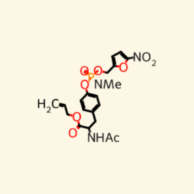 C=CCOC(=O)C(Cc1ccc(OP(=O)(NC)OCc2ccc([N+](=O)[O-])o2)cc1)NC(C)=O